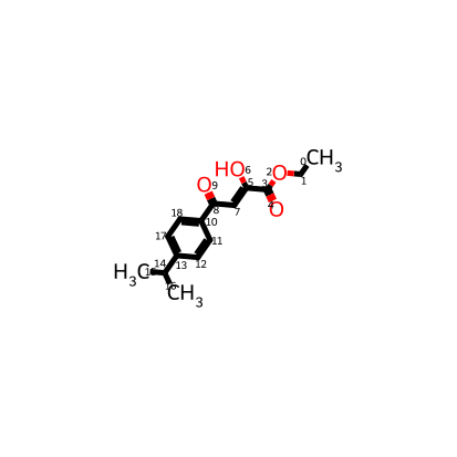 CCOC(=O)C(O)=CC(=O)c1ccc(C(C)C)cc1